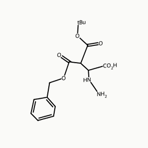 CC(C)(C)OC(=O)C(C(=O)OCc1ccccc1)C(NN)C(=O)O